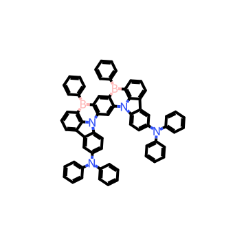 c1ccc(B2c3cc4c(cc3-n3c5ccc(N(c6ccccc6)c6ccccc6)cc5c5cccc2c53)-n2c3ccc(N(c5ccccc5)c5ccccc5)cc3c3cccc(c32)B4c2ccccc2)cc1